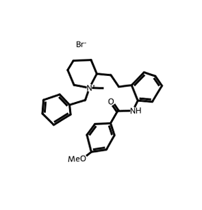 COc1ccc(C(=O)Nc2ccccc2CCC2CCCC[N+]2(C)Cc2ccccc2)cc1.[Br-]